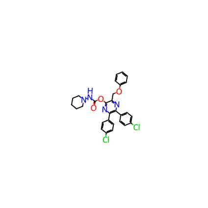 O=C(NN1CCCCC1)Oc1nc(-c2ccc(Cl)cc2)c(-c2ccc(Cl)cc2)nc1COc1ccccc1